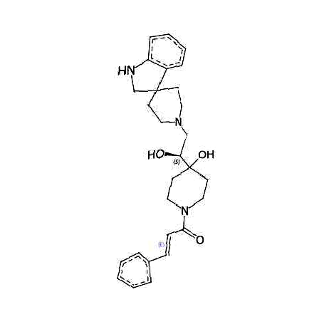 O=C(/C=C/c1ccccc1)N1CCC(O)([C@@H](O)CN2CCC3(CC2)CNc2ccccc23)CC1